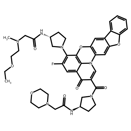 CCOCCN(C)CC(=O)N[C@@H]1CCN(c2c(F)cc3c(=O)c(C(=O)N4CC[C@@H](NC(=O)CN5CCOCC5)C4)cn4c3c2Oc2cc3c(cc2-4)oc2ccccc23)C1